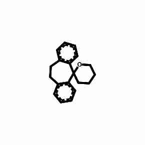 c1ccc2c(c1)CCc1ccccc1C21CCCCO1